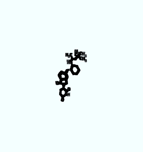 C[C@@H](CC(C)(C)C)N[C@H]1CCCC[C@@H]1Cc1ccc2c(c1)CN(C1CCC(=O)NC1=O)C2=O